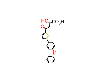 O=C(O)C(O)=CC(=O)c1ccc(-c2ccc(Oc3ccccc3)cc2)s1